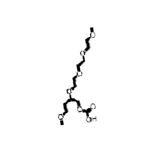 COCCOCCOCCOC(CCOC)COC(=O)O